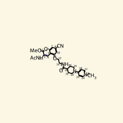 COC(=O)/C(=C\c1ccc(C#N)cc1OCCNC(=O)C1CCN(c2cc[n+](C)cc2)CC1)NC(C)=O